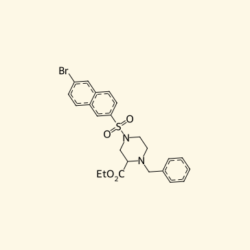 CCOC(=O)C1CN(S(=O)(=O)c2ccc3cc(Br)ccc3c2)CCN1Cc1ccccc1